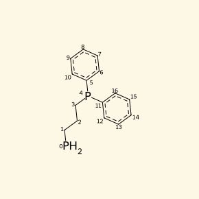 PCCCP(c1ccccc1)c1ccccc1